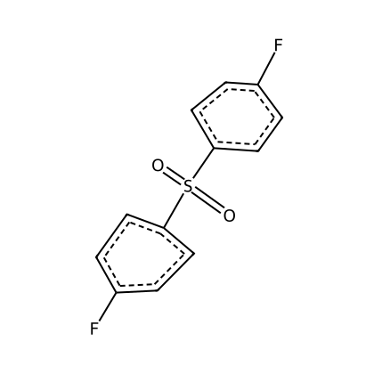 O=S(=O)(c1ccc(F)cc1)c1ccc(F)cc1